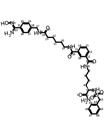 NC(=O)[C@@H](CCCCNC(=O)c1cccc(C(=O)NCCCCCC(=O)NCc2ccc(/C(N)=N/O)cc2)c1)NS(=O)(=O)Cc1ccccc1